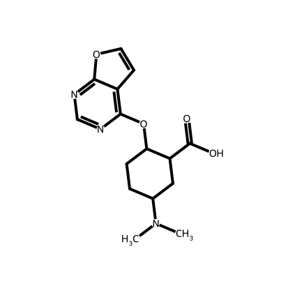 CN(C)C1CCC(Oc2ncnc3occc23)C(C(=O)O)C1